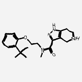 CN(CCOc1ccccc1C(C)(C)C)C(=O)c1n[nH]c2c1CNCC2